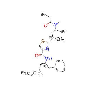 CCOC(=O)[C@@H](C)C[C@H](Cc1ccccc1)NC(=O)c1csc([C@@H](CC(C(C)C)N(C)C(=O)CC(C)C)OC(C)=O)n1